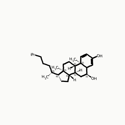 CC(C)CCC[C@@H](C)[C@H]1CC[C@H]2[C@@H]3C[C@H](O)C4C=C(O)C=C[C@]4(C)[C@H]3CC[C@]12C